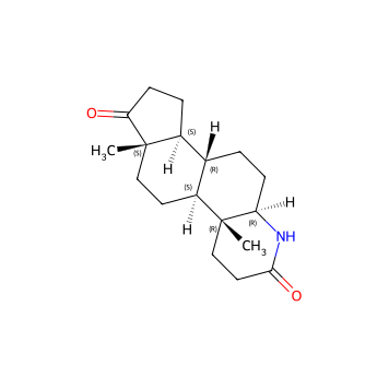 C[C@]12CCC(=O)N[C@@H]1CC[C@@H]1[C@@H]2CC[C@]2(C)C(=O)CC[C@@H]12